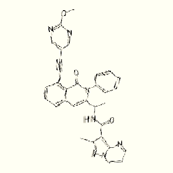 COc1ncc(C#Cc2cccc3cc(C(C)NC(=O)c4c(C)nn5cccnc45)n(-c4ccccc4)c(=O)c23)cn1